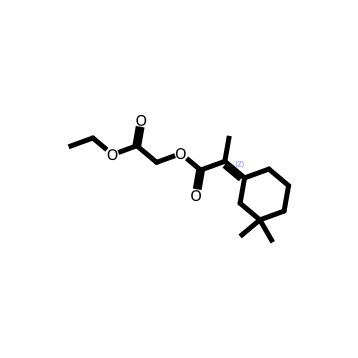 CCOC(=O)COC(=O)/C(C)=C1/CCCC(C)(C)C1